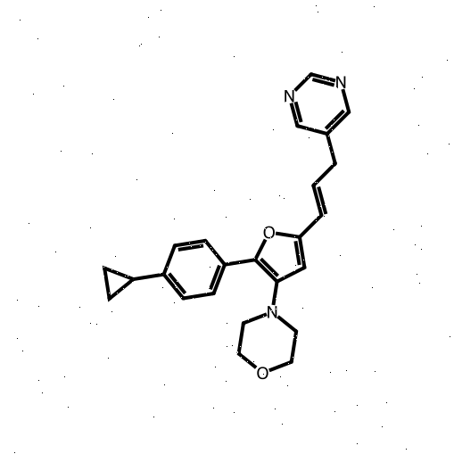 C(=C\c1cc(N2CCOCC2)c(-c2ccc(C3CC3)cc2)o1)/Cc1cncnc1